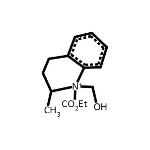 CCOC(=O)[N+]1(CO)c2ccccc2CCC1C